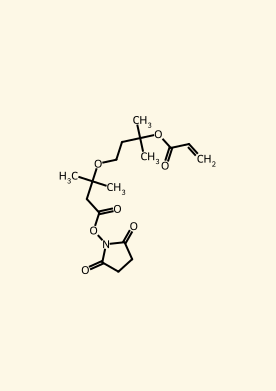 C=CC(=O)OC(C)(C)CCOC(C)(C)CC(=O)ON1C(=O)CCC1=O